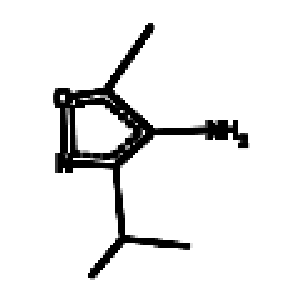 Cc1onc(C(C)C)c1N